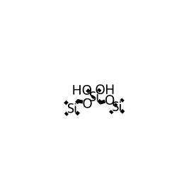 C[Si](C)(C)CO[Si](O)(O)CO[Si](C)(C)C